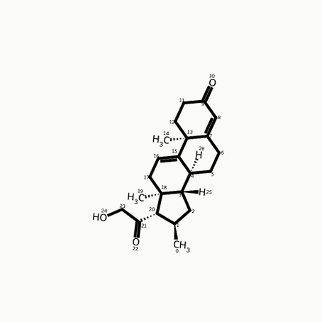 C[C@@H]1C[C@H]2[C@@H]3CCC4=CC(=O)CC[C@]4(C)C3=CC[C@]2(C)[C@H]1C(=O)CO